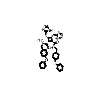 CCCN(Cc1ccc(Oc2ccccc2)cc1)C(=O)[C@@H]1[C@H](Cc2nnn[nH]2)[C@@H](Cc2nnn[nH]2)[C@H]1C(=O)N(CCC)Cc1ccc(Oc2ccccc2)cc1